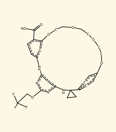 O=C(O)c1ccc2cc1OCCOCCOCCOc1ccc(cc1)C1(CC1)Nc1nc(nc(OCC(F)(F)F)n1)N2